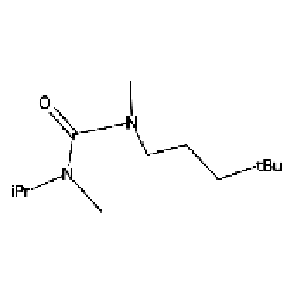 CC(C)N(C)C(=O)N(C)CCCC(C)(C)C